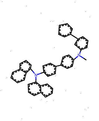 CN(c1ccc(-c2ccc(N(c3cccc4ccccc34)c3cccc4ccccc34)cc2)cc1)c1cccc(-c2ccccc2)c1